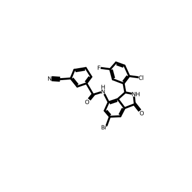 N#Cc1cccc(C(=O)Nc2cc(Br)cc3c2C(c2cc(F)ccc2Cl)NC3=O)c1